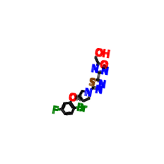 OCc1nc(-c2nnc(N3CC[C@H](Oc4cc(F)ccc4Br)C3)s2)no1